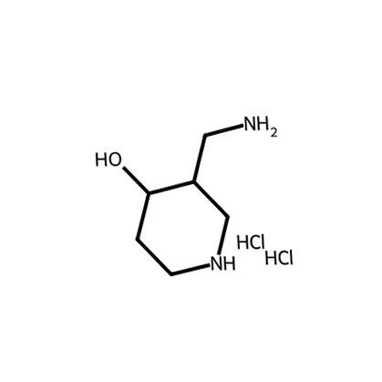 Cl.Cl.NCC1CNCCC1O